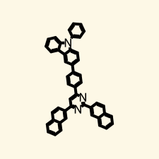 c1ccc(-n2c3ccccc3c3cc(-c4ccc(-c5cc(-c6ccc7ccccc7c6)nc(-c6ccc7ccccc7c6)n5)cc4)ccc32)cc1